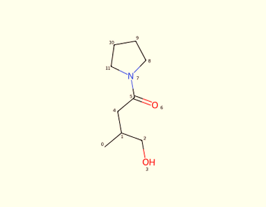 CC(CO)CC(=O)N1CCCC1